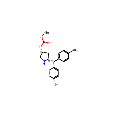 CC(C)(C)OC(=O)O[C@H]1CN[C@@H](C(c2ccc(C(C)(C)C)cc2)c2ccc(C(C)(C)C)cc2)C1